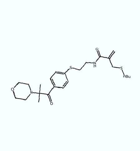 C=C(CSCCCC)C(=O)NCCSc1ccc(C(=O)C(C)(C)N2CCOCC2)cc1